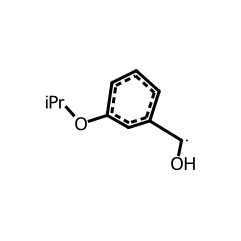 CC(C)Oc1cccc([CH]O)c1